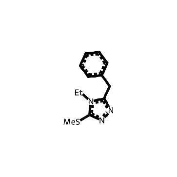 [CH2]Sc1nnc(Cc2ccccc2)n1CC